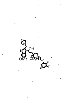 COc1ccc2ncc(CN3CCOCC3)c(C(O)CCC3(CC(=O)O)CCN(CCSc4cc(F)cc(F)c4F)CC3)c2c1